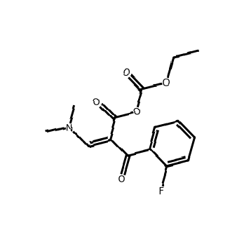 CCOC(=O)OC(=O)C(=CN(C)C)C(=O)c1ccccc1F